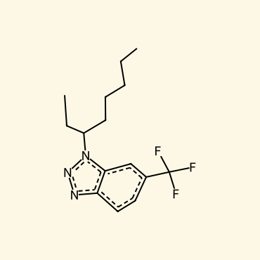 CCCCCC(CC)n1nnc2ccc(C(F)(F)F)cc21